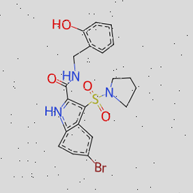 O=C(NCc1ccccc1O)c1[nH]c2ccc(Br)cc2c1S(=O)(=O)N1CCCC1